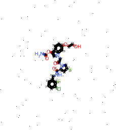 NC(=O)Oc1cn(CC(=O)N2C[C@H](F)C[C@H]2C(=O)NCc2cccc(Cl)c2F)c2cc(OCCO)ccc12